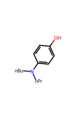 CCCCN(CCC)c1ccc(O)cc1